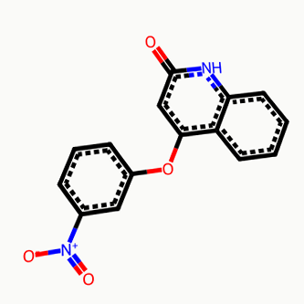 O=c1cc(Oc2cccc([N+](=O)[O-])c2)c2ccccc2[nH]1